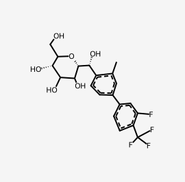 Cc1cc(-c2ccc(C(F)(F)F)c(F)c2)ccc1[C@@H](O)[C@H]1OC(CO)[C@@H](O)C(O)C1O